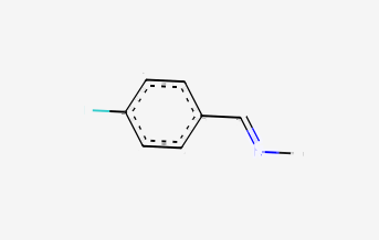 CC/N=C/c1ccc(F)cc1